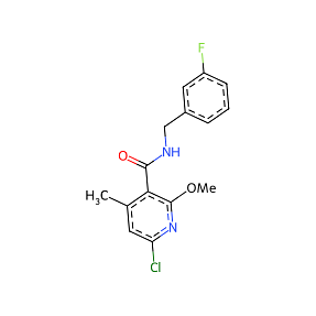 COc1nc(Cl)cc(C)c1C(=O)NCc1cccc(F)c1